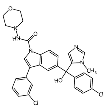 Cn1cncc1C(O)(c1ccc(Cl)cc1)c1ccc2c(c1)c(-c1cccc(Cl)c1)cn2C(=O)NN1CCOCC1